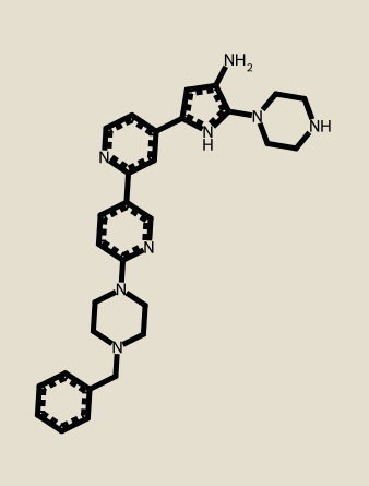 Nc1cc(-c2ccnc(-c3ccc(N4CCN(Cc5ccccc5)CC4)nc3)c2)[nH]c1N1CCNCC1